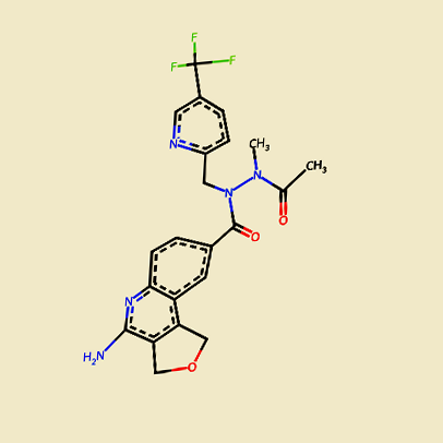 CC(=O)N(C)N(Cc1ccc(C(F)(F)F)cn1)C(=O)c1ccc2nc(N)c3c(c2c1)COC3